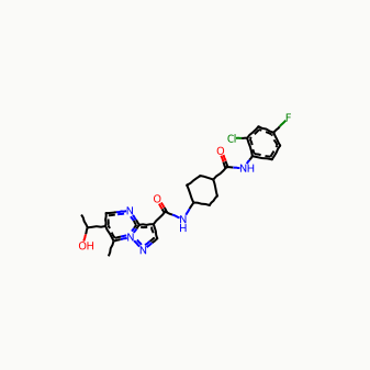 Cc1c(C(C)O)cnc2c(C(=O)NC3CCC(C(=O)Nc4ccc(F)cc4Cl)CC3)cnn12